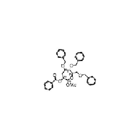 CO[C@H]1O[C@H](COCc2ccccc2)[C@@H](OCc2ccccc2)[C@H](OCc2ccccc2)C[C@@H]1OC(=O)c1ccccc1